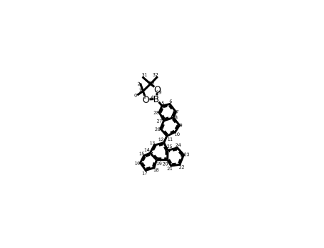 CC1(C)OB(c2ccc3ccc(-c4cc5ccccc5c5ccccc45)cc3c2)OC1(C)C